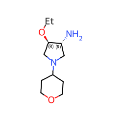 CCO[C@@H]1CN(C2CCOCC2)C[C@H]1N